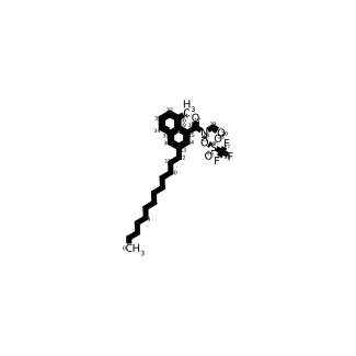 CCCCCCCCCCCCCc1cc(C(=O)N(C=O)OS(=O)(=O)C(F)(F)F)c2c(C)cccc2c1